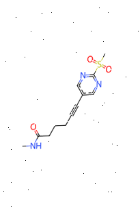 CNC(=O)CCCC#Cc1cnc(S(C)(=O)=O)nc1